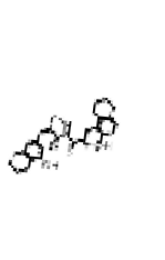 N#CC(=Cc1cc(O)c2c(c1)CCCC2)C(=O)NC(=S)C(C#N)=Cc1c(O)ccc2c1CCCC2